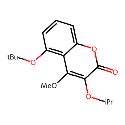 COc1c(OC(C)C)c(=O)oc2cccc(OC(C)(C)C)c12